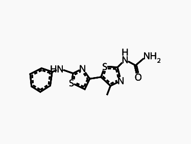 Cc1nc(NC(N)=O)sc1-c1csc(Nc2ccccc2)n1